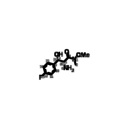 CON(C)C(=O)[C@H](N)[C@@H](O)c1ccc(F)cc1